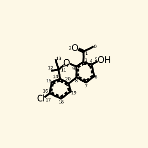 CC(=O)c1c(O)ccc2c1OC(C)(C)c1cc(Cl)ccc1-2